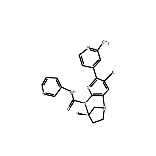 Cc1cc(-c2nc3c(cc2Cl)N2CC[C@@H](C2)N3C(=O)Nc2cccnc2)ccn1